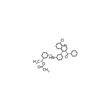 CC(=O)OC(C)c1cccc(CNc2cccc(-c3c(C(=O)c4ccccc4)cnc4c(Cl)cccc34)c2)c1